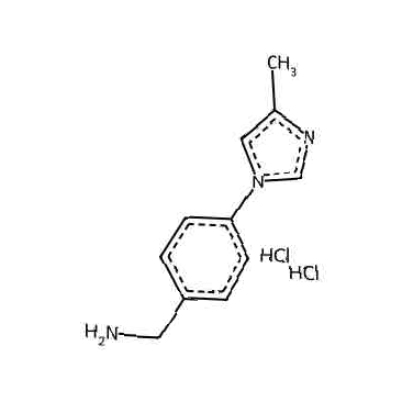 Cc1cn(-c2ccc(CN)cc2)cn1.Cl.Cl